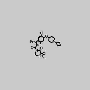 CC(C)c1c(C(=O)N2CC[SH4]C(=O)C2=O)oc2cc(OC3CCN(C4CCC4)CC3)c(Cl)cc12